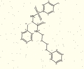 Cc1ccc(S(=O)(=O)N[C@@H](Cc2cc[c]cc2)C(=O)NCCCCc2ccccc2)cc1